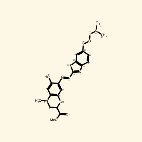 COC(=O)C1CN(C)c2cc(O)c(N=Nc3nc4ccc(SOON(C)C)cc4s3)cc2O1